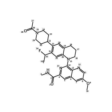 CNC(=O)c1cc2cc(OC)cnc2c(N2CCCc3cc(C4CCN(C(C)=O)CC4)c(C(F)F)cc32)n1